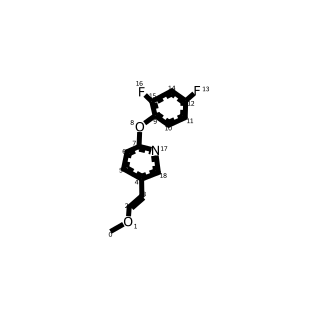 CO/C=C/c1ccc(Oc2ccc(F)cc2F)nc1